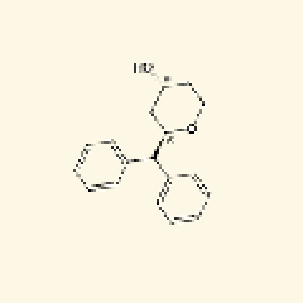 O[C@@H]1CCO[C@@H](C(c2ccccc2)c2ccccc2)C1